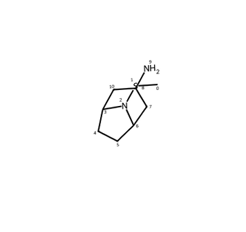 CSN1C2CCC1CC(N)C2